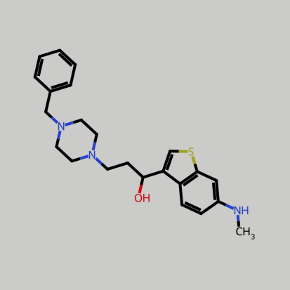 CNc1ccc2c(C(O)CCN3CCN(Cc4ccccc4)CC3)csc2c1